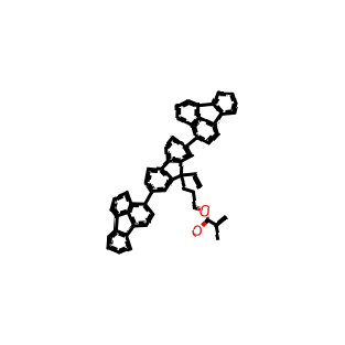 C=CC1(CCCOC(=O)C(=C)C)c2cc(-c3ccc4c5c(cccc35)-c3ccccc3-4)ccc2-c2ccc(-c3ccc4c5c(cccc35)-c3ccccc3-4)cc21